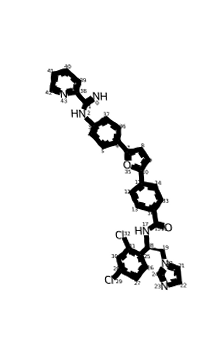 N=C(Nc1ccc(-c2ccc(-c3ccc(C(=O)N[C@@H](Cn4ccnc4)c4ccc(Cl)cc4Cl)cc3)o2)cc1)c1ccccn1